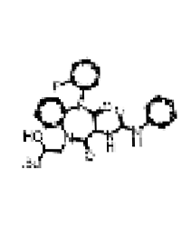 CC(C)(C)C(O)CN1C(=O)C(NC(=O)Nc2ccccc2)C(=O)N(c2ccccc2F)c2ccccc21